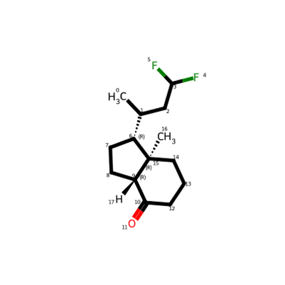 CC(CC(F)F)[C@H]1CC[C@H]2C(=O)CCC[C@]12C